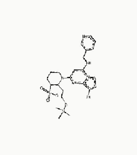 CCc1cnn2c(NCc3cccnc3)cc(N3CCCC(S(=O)(=O)Cl)C3CCO[Si](C)(C)C)nc12